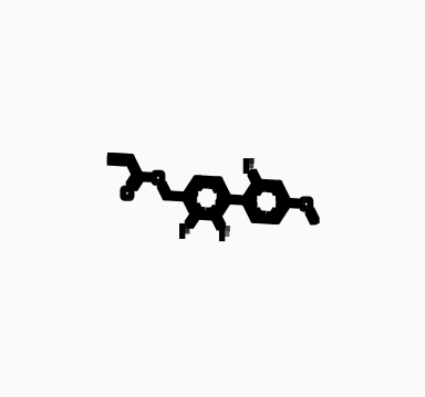 C=CC(=O)OCc1ccc(-c2ccc(OC)cc2F)c(F)c1F